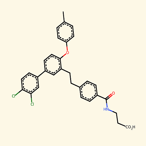 Cc1ccc(Oc2ccc(-c3ccc(Cl)c(Cl)c3)cc2CCc2ccc(C(=O)NCCC(=O)O)cc2)cc1